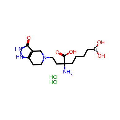 Cl.Cl.NC(CCCCB(O)O)(CCN1CCc2[nH][nH]c(=O)c2C1)C(=O)O